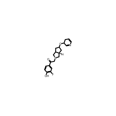 O=C(CN1CC2CC(OC3C=NC=CC3)C[C@@H]2C1)c1ccc(O)c(F)c1